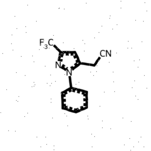 N#CCc1cc(C(F)(F)F)nn1-c1ccccc1